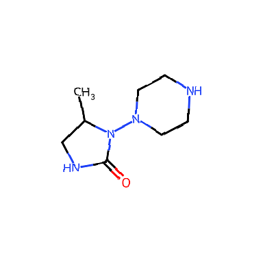 CC1CNC(=O)N1N1CCNCC1